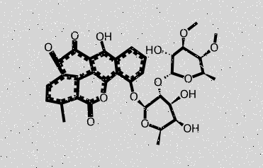 CO[C@@H]1[C@@H](O)[C@@H](O[C@H]2[C@H](Oc3cccc4c(O)c5c(=O)c(=O)c6ccc(C)c7c(=O)oc(c34)c5c67)O[C@H](C)[C@H](O)[C@@H]2O)O[C@H](C)[C@@H]1OC